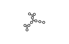 c1ccc(-c2ccc(-c3ccc(N(c4ccc(-c5ccc6c(c5)c5ccccc5n6-c5ccccc5)cc4)c4ccc5c(c4)c4ccccc4n5-c4ccccc4)cc3)cc2)cc1